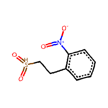 O=[N+]([O-])c1ccccc1CC[SH](=O)=O